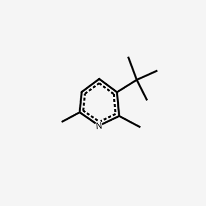 Cc1ccc(C(C)(C)C)c(C)n1